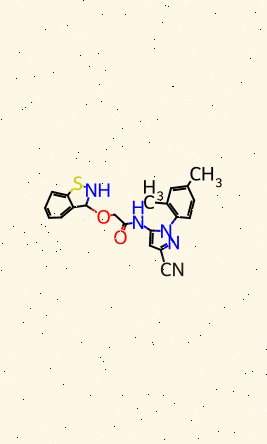 Cc1ccc(-n2nc(C#N)cc2NC(=O)COC2NSc3ccccc32)c(C)c1